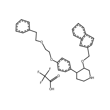 O=C(O)C(F)(F)F.c1ccc(CCOCCOc2ccc(C3CCNCC3OCc3ccc4ccccc4c3)cc2)cc1